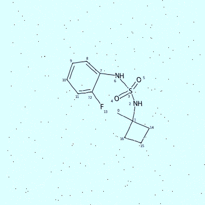 CC1(NS(=O)(=O)Nc2ccccc2F)CCC1